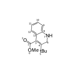 COC(=O)C1=C(C(C)(C)C)CNc2ccccc21